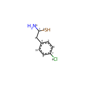 NC(S)Cc1ccc(Cl)cc1